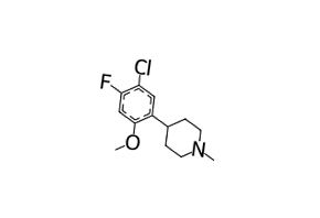 COc1cc(F)c(Cl)cc1C1CCN(C)CC1